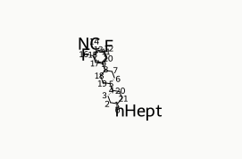 CCCCCCC[C@H]1CC[C@H]([C@H]2CC[C@H](c3cc(F)c(C#N)c(F)c3)CC2)CC1